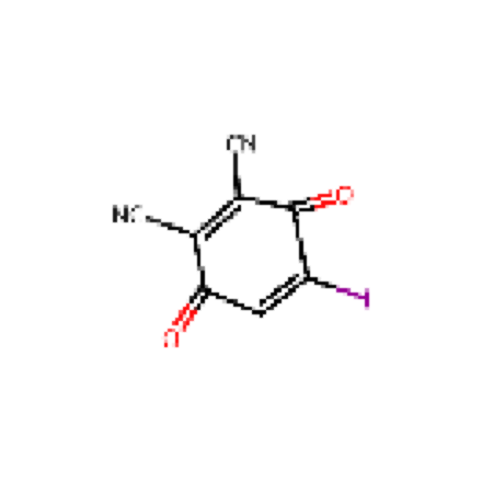 N#CC1=C(C#N)C(=O)C(I)=CC1=O